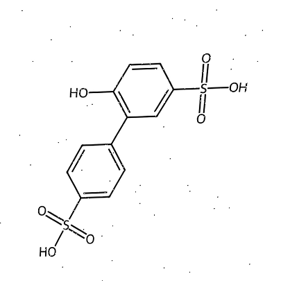 O=S(=O)(O)c1ccc(-c2cc(S(=O)(=O)O)ccc2O)cc1